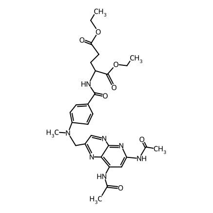 CCOC(=O)CCC(NC(=O)c1ccc(N(C)Cc2cnc3nc(NC(C)=O)cc(NC(C)=O)c3n2)cc1)C(=O)OCC